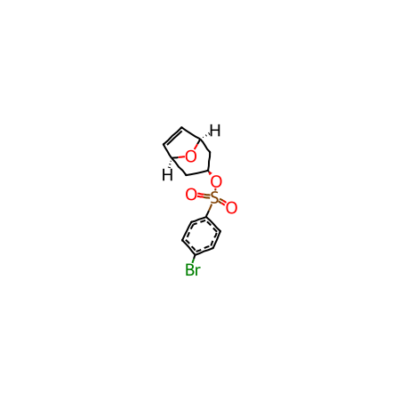 O=S(=O)(O[C@H]1C[C@H]2C=C[C@@H](C1)O2)c1ccc(Br)cc1